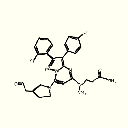 CN(CCC(N)=O)c1cc(N2CCC(CC=O)C2)n2nc(-c3ccccc3Cl)c(-c3ccc(Cl)cc3)c2n1